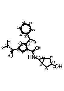 CNC(=O)c1cc(C(=O)NC2C3CC(O)CC32)c(C(C)c2ccccc2)o1